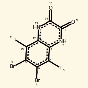 O=c1[nH]c2c(I)c(Br)c(Br)c(I)c2[nH]c1=O